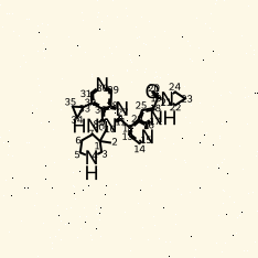 CC1(C)CNCC[C@@H]1Nc1nc(-c2ccnc3[nH]c(C(=O)N4CCC4)cc23)nc2cncc(C3CC3)c12